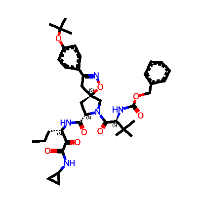 CCC[C@H](NC(=O)[C@@H]1C[C@]2(CC(c3ccc(OC(C)(C)C)cc3)=NO2)CN1C(=O)[C@@H](NC(=O)OCc1ccccc1)C(C)(C)C)C(=O)C(=O)NC1CC1